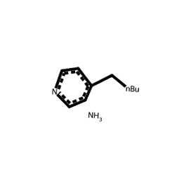 CCCCCc1ccncc1.N